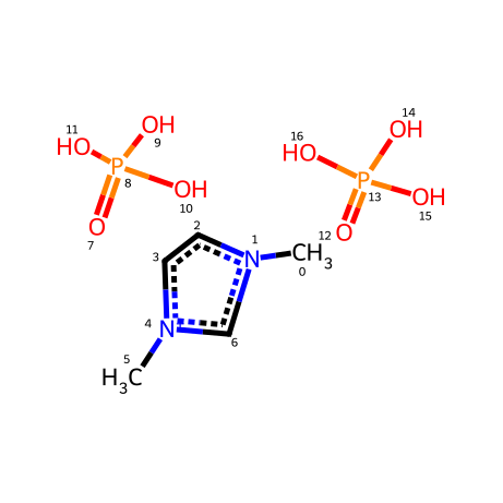 Cn1cc[n+](C)c1.O=P(O)(O)O.O=P(O)(O)O